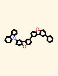 c1ccc(-c2ccc3oc4ccc(-c5ccc6oc7ccc(-n8c9ccccc9c9ccccc98)cc7c6c5)cc4c3c2)cc1